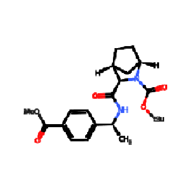 COC(=O)c1ccc([C@H](C)NC(=O)[C@H]2[C@@H]3CC[C@@H](C3)N2C(=O)OC(C)(C)C)cc1